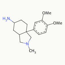 COc1ccc(C23CCC(N)CC2CN(C)C3)cc1OC